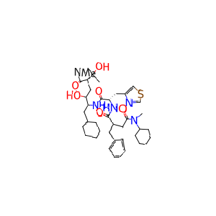 CNC(=O)C(CC(O)C(CC1CCCCC1)NC(=O)[C@H](Cc1cscn1)NC(=O)C(CC(=O)N(C)C1CCCCC1)Cc1ccccc1)C(C)(C)O